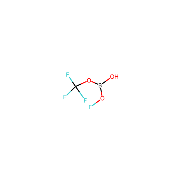 OB(OF)OC(F)(F)F